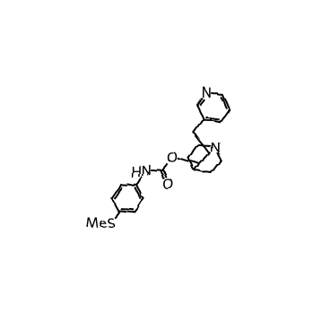 CSc1ccc(NC(=O)OC2C3CCN(CC3)C2Cc2cccnc2)cc1